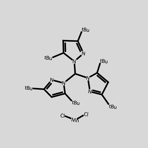 CC(C)(C)c1cc(C(C)(C)C)n(C(n2nc(C(C)(C)C)cc2C(C)(C)C)n2nc(C(C)(C)C)cc2C(C)(C)C)n1.[Cl][Mn][Cl]